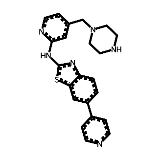 c1cc(-c2ccc3nc(Nc4cc(CN5CCNCC5)ccn4)sc3c2)ccn1